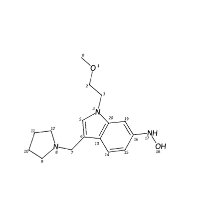 COCCn1cc(CN2CCCC2)c2ccc(NO)cc21